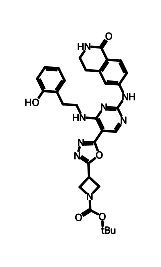 CC(C)(C)OC(=O)N1CC(c2nnc(-c3cnc(Nc4ccc5c(c4)CCNC5=O)nc3NCCc3ccccc3O)o2)C1